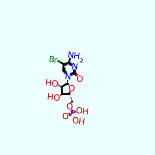 Nc1nc(=O)n([C@@H]2O[C@H](COP(=O)(O)O)[C@@H](O)[C@H]2O)cc1Br